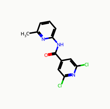 Cc1cccc(NC(=O)c2cc(Cl)nc(Cl)c2)n1